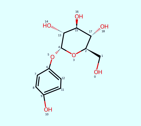 OC[C@H]1O[C@H](Oc2ccc(O)cc2)[C@H](O)[C@@H](O)[C@@H]1O